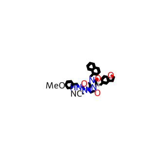 COC1C=CC(CNC(=O)N(CC#N)N2CC(=O)N3C2CN(Cc2cccc4ccccc24)C(=O)[C@@H]3Cc2ccc3c(c2)CCO3)=CC1